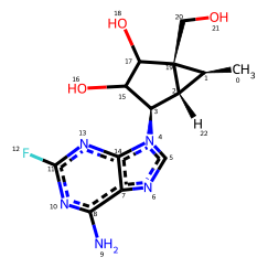 C[C@H]1[C@@H]2[C@@H](n3cnc4c(N)nc(F)nc43)C(O)C(O)[C@@]21CO